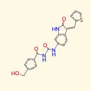 O=C(NC(=O)c1ccc(CO)cc1)Nc1ccc2c(c1)NC(=O)/C2=C\c1cccs1